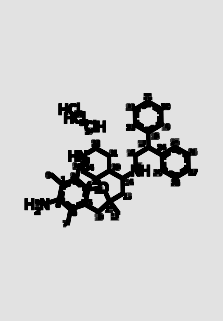 Cc1c(C)c2c(c(C)c1N)CC(C)(CC(NCC(c1ccccc1)c1ccccc1)C1CCNCC1)O2.Cl.Cl.Cl